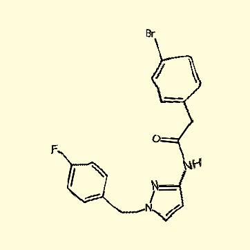 O=C(Cc1ccc(Br)cc1)Nc1ccn(Cc2ccc(F)cc2)n1